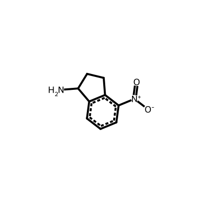 NC1CCc2c1cccc2[N+](=O)[O-]